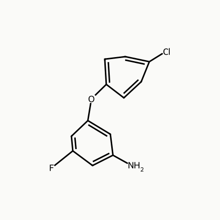 Nc1cc(F)cc(Oc2ccc(Cl)cc2)c1